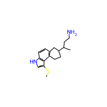 CSc1c[nH]c2ccc3c(c12)CCC(C(C)CCN)C3